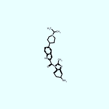 Cc1nc2c(n1C(=O)c1cc3cc(C4CCN(C(C)C)CC4)ccc3[nH]1)=CC[C](N)C=2